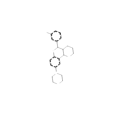 Oc1cccc(C2Nc3ccc(N4CCOCC4)cc3C3OCCCC23)c1